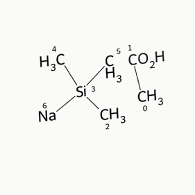 CC(=O)O.C[Si](C)(C)[Na]